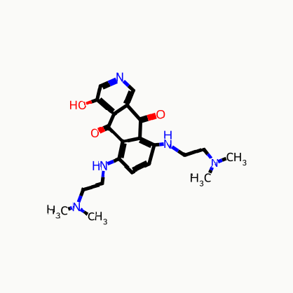 CN(C)CCNc1ccc(NCCN(C)C)c2c1C(=O)c1cncc(O)c1C2=O